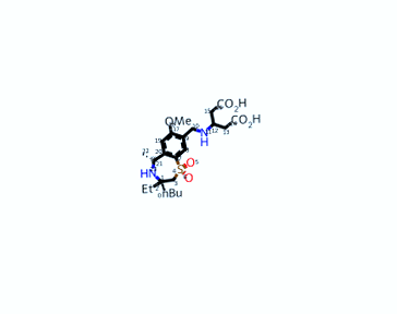 CCCC[C@]1(CC)CS(=O)(=O)c2cc(CNC(CC(=O)O)CC(=O)O)c(OC)cc2[C@@H](C)N1